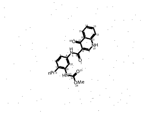 CCCc1ccc(NC(=O)c2c[nH]c3ccccc3c2=O)cc1NC(=O)OC